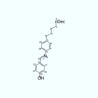 CCCCCCCCCCCCCCc1ccc(/N=C/c2ccc(O)cc2)cc1